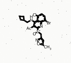 CC(=O)c1c([S+]([O-])Cc2cc(C)on2)nc2c(Br)ccc(Cl)c2c1NCC1CCC1